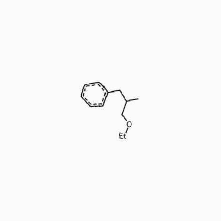 [CH2]COCC(C)Cc1ccccc1